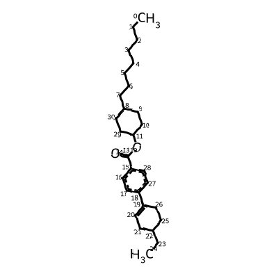 CCCCCCCCC1CCC(OC(=O)c2ccc(C3=CCC(CC)CC3)cc2)CC1